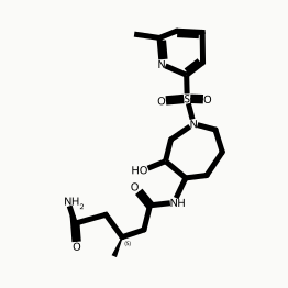 Cc1cccc(S(=O)(=O)N2CCCC(NC(=O)C[C@@H](C)CC(N)=O)C(O)C2)n1